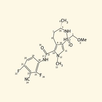 COC[SH]1(=O)N[C@@H](C)CCc2c1cn(C)c2C(=O)Nc1ccc(F)c(C#N)c1F